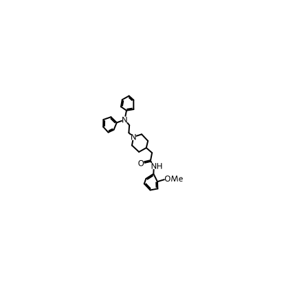 COc1ccccc1NC(=O)CC1CCN(CCN(c2ccccc2)c2ccccc2)CC1